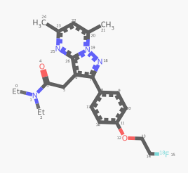 CCN(CC)C(=O)Cc1c(-c2ccc(OCC[18F])cc2)nn2c(C)cc(C)nc12